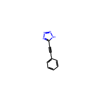 C(#Cc1nnn[nH]1)c1ccccc1